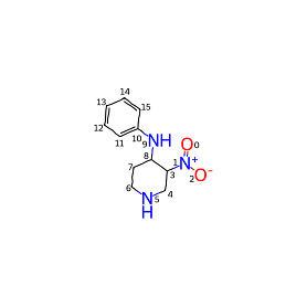 O=[N+]([O-])C1CNCCC1Nc1ccccc1